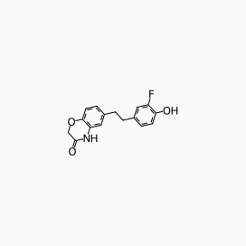 O=C1COc2ccc(CCc3ccc(O)c(F)c3)cc2N1